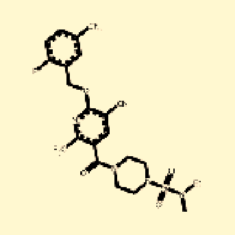 CCN(C)S(=O)(=O)N1CCN(C(=O)c2cc(C#N)c(OCc3cc(C(F)(F)F)ccc3F)nc2C(F)(F)F)CC1